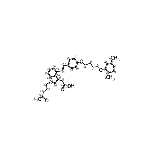 Cc1ccc(C)c(OCCCCOc2ccc(C=Cc3cccc4c3c(CC(=O)O)cn4CCCC(=O)O)cc2)c1